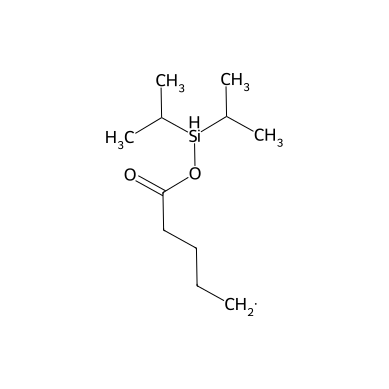 [CH2]CCCC(=O)O[SiH](C(C)C)C(C)C